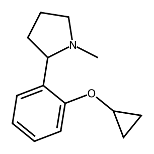 CN1CCCC1c1ccccc1OC1CC1